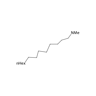 CCCCCCCCCCCCCCNC